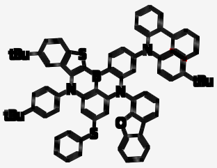 CC(C)(C)c1ccc(N(c2ccc3c(c2)N(c2cccc4c2oc2ccccc24)c2cc(Sc4ccccc4)cc4c2B3c2sc3ccc(C(C)(C)C)cc3c2N4c2ccc(C(C)(C)C)cc2)c2ccccc2-c2ccccc2)cc1